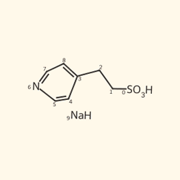 O=S(=O)(O)CCc1ccncc1.[NaH]